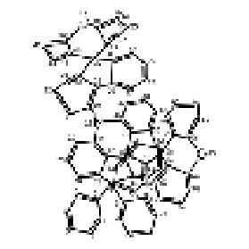 c1ccc(C2(c3ccccc3)c3ccccc3-c3c(N(c4cccc5c4-c4ccccc4C54c5ccccc5Oc5ccccc54)c4cccc5c4-c4ccccc4C54c5ccccc5Oc5ccccc54)cccc32)cc1